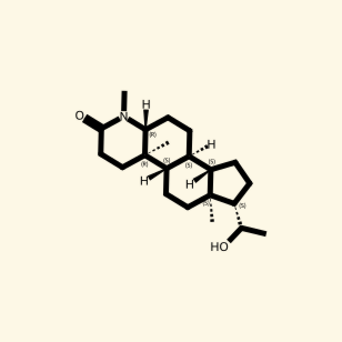 CC(O)[C@H]1CC[C@H]2[C@@H]3CC[C@H]4N(C)C(=O)CC[C@]4(C)[C@H]3CC[C@]12C